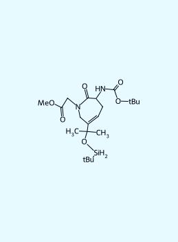 COC(=O)CN1CC(C(C)(C)O[SiH2]C(C)(C)C)=CCC(NC(=O)OC(C)(C)C)C1=O